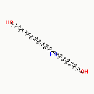 OCCCCCCCCCCCCCCCCCCCCCCCCNCCCCCCCCCCCCCCO